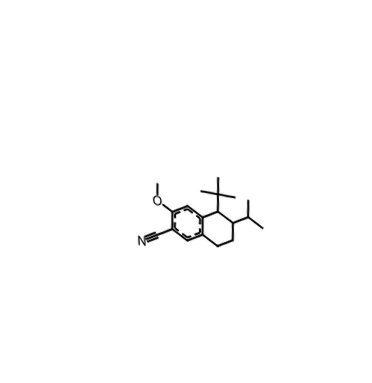 COc1cc2c(cc1C#N)CCC(C(C)C)C2C(C)(C)C